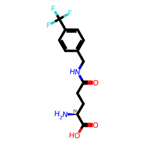 N[C@@H](CCC(=O)NCc1ccc(C(F)(F)F)cc1)C(=O)O